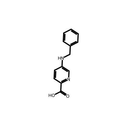 O=C(O)c1ccc(NCc2ccccc2)cn1